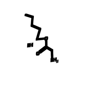 CCCCCOC(=O)CN.[KH]